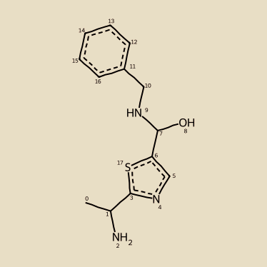 CC(N)c1ncc(C(O)NCc2ccccc2)s1